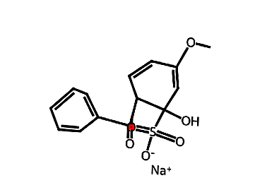 COC1=CC(O)(S(=O)(=O)[O-])C(C(=O)c2ccccc2)C=C1.[Na+]